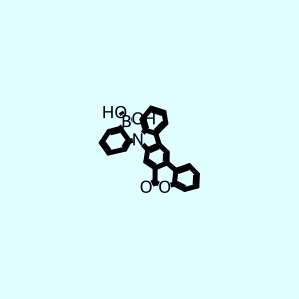 O=c1oc2ccccc2c2cc3c4ccccc4n(-c4ccccc4B(O)O)c3cc12